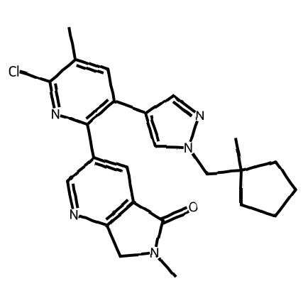 Cc1cc(-c2cnn(CC3(C)CCCC3)c2)c(-c2cnc3c(c2)C(=O)N(C)C3)nc1Cl